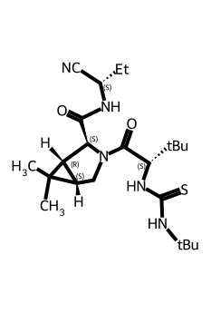 CC[C@@H](C#N)NC(=O)[C@@H]1[C@@H]2[C@H](CN1C(=O)[C@@H](NC(=S)NC(C)(C)C)C(C)(C)C)C2(C)C